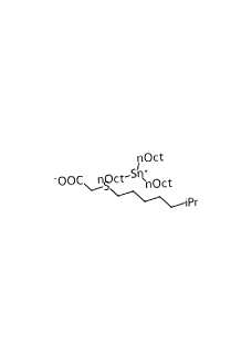 CC(C)CCCCCSCC(=O)[O-].CCCCCCC[CH2][Sn+]([CH2]CCCCCCC)[CH2]CCCCCCC